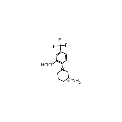 Cl.N[C@@H]1CCCN(c2ccc(C(F)(F)F)cc2Cl)C1